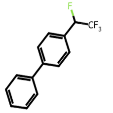 FC(c1ccc(-c2ccccc2)cc1)C(F)(F)F